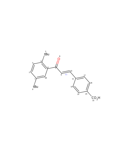 CC(C)(C)c1ccc(C(C)(C)C)c(C(=O)/C=C/c2ccc(C(=O)O)cc2)c1